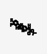 CC(C)OC(=O)Nc1cnc2[nH]c(-c3ccc(F)c(F)c3)nc2c1